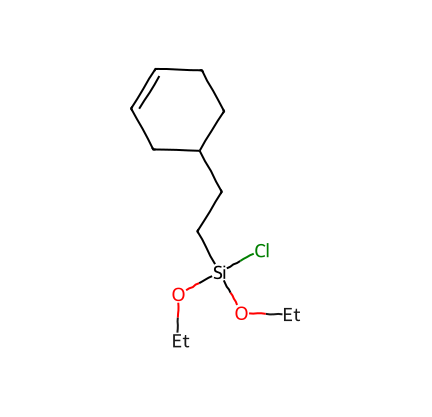 CCO[Si](Cl)(CCC1CC=CCC1)OCC